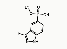 CCOP(=O)(O)c1ccc2[nH]nc(I)c2c1